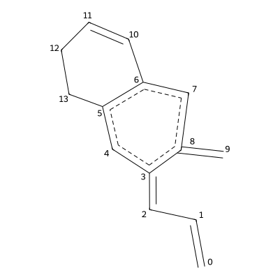 C=C/C=c1/cc2c(cc1=C)C=CCC2